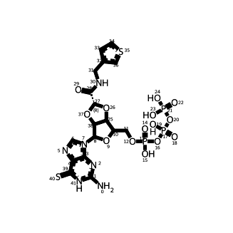 Nc1nc2c(ncn2C2OC(COP(=O)(O)OP(=O)(O)OP(=O)(O)O)C3O[C@@H](C(=O)NCc4ccsc4)OC32)c(=S)[nH]1